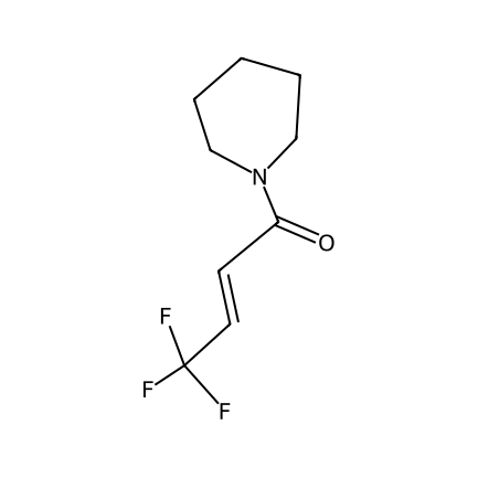 O=C(C=CC(F)(F)F)N1CCCCC1